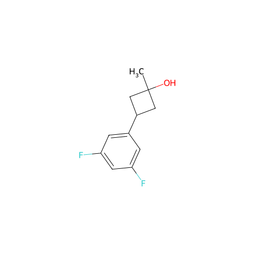 CC1(O)CC(c2cc(F)cc(F)c2)C1